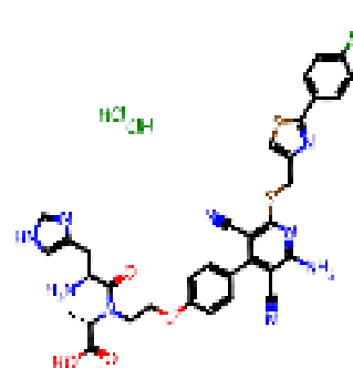 C[C@@H](C(=O)O)N(CCOc1ccc(-c2c(C#N)c(N)nc(SCc3csc(-c4ccc(Cl)cc4)n3)c2C#N)cc1)C(=O)[C@@H](N)Cc1c[nH]cn1.Cl.Cl